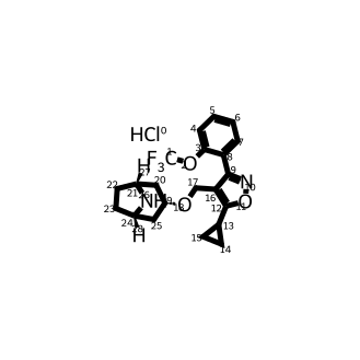 Cl.FC(F)(F)Oc1ccccc1-c1noc(C2CC2)c1CO[C@H]1C[C@H]2CC[C@@H](C1)N2